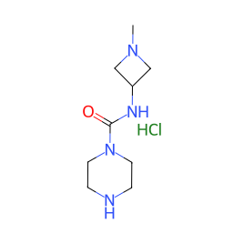 CN1CC(NC(=O)N2CCNCC2)C1.Cl